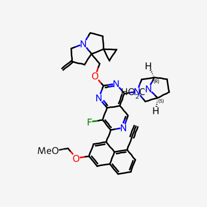 C#Cc1cccc2cc(OCOC)cc(-c3ncc4c(N5C[C@H]6CC[C@@H](C5)N6C(=O)O)nc(OCC56CC(=C)CN5CCC65CC5)nc4c3F)c12